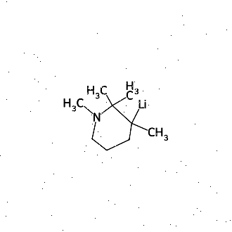 [Li][C]1(C)CCCN(C)C1(C)C